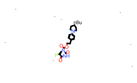 CCCCC1CCN(c2ccc(CCOC(=O)n3cc(F)c(=O)[nH]c3=O)cc2)CC1